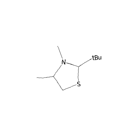 CC1CSC(C(C)(C)C)N1C